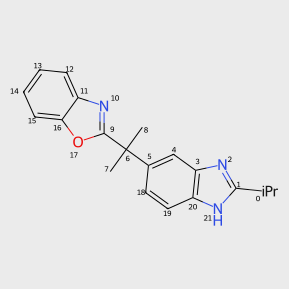 CC(C)c1nc2cc(C(C)(C)c3nc4ccccc4o3)ccc2[nH]1